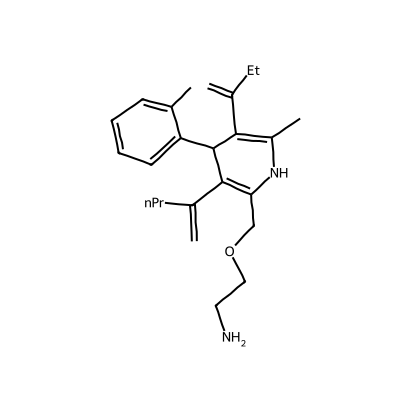 C=C(CC)C1=C(C)NC(COCCN)=C(C(=C)CCC)C1c1ccccc1C